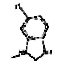 C[SiH]1CNc2ccc(Cl)cc21